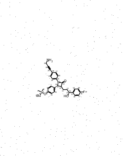 CC(C)(C)[Si](C)(C)Oc1ccc([C@@H]2C(CC[C@H](O)c3ccc(F)cc3)C(=O)N2c2ccc(C#CCN)cc2)cc1